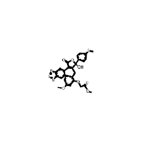 COC(=O)COc1cc(OC)ccc1CC1=C(c2ccc3nsnc3c2)C(=O)OC1(O)c1ccc(SC)cc1